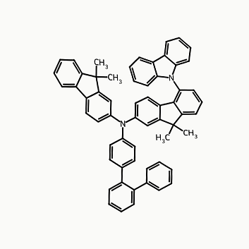 CC1(C)c2ccccc2-c2ccc(N(c3ccc(-c4ccccc4-c4ccccc4)cc3)c3ccc4c(c3)C(C)(C)c3cccc(-n5c6ccccc6c6ccccc65)c3-4)cc21